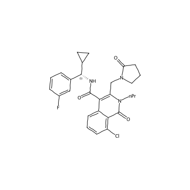 CCCn1c(CN2CCCC2=O)c(C(=O)N[C@H](c2cccc(F)c2)C2CC2)c2cccc(Cl)c2c1=O